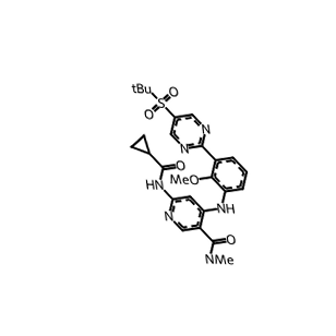 CNC(=O)c1cnc(NC(=O)C2CC2)cc1Nc1cccc(-c2ncc(S(=O)(=O)C(C)(C)C)cn2)c1OC